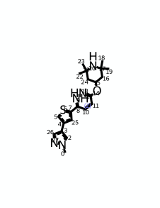 Cn1cc(-c2csc(C(=N)/C=C\C(=N)OC3CC(C)(C)NC(C)(C)C3)c2)cn1